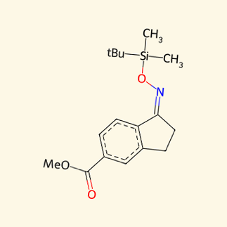 COC(=O)c1ccc2c(c1)CC/C2=N/O[Si](C)(C)C(C)(C)C